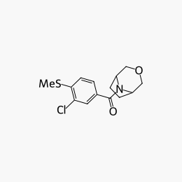 CSc1ccc(C(=O)N2C3CCC2COC3)cc1Cl